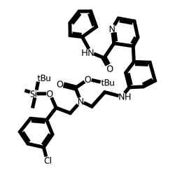 CC(C)(C)OC(=O)N(CCNc1cccc(-c2cccnc2C(=O)Nc2ccccc2)c1)CC(O[Si](C)(C)C(C)(C)C)c1cccc(Cl)c1